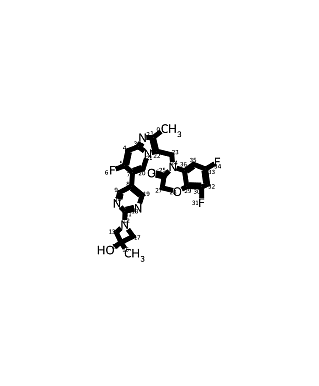 Cc1nc2cc(F)c(-c3cnc(N4CC(C)(O)C4)nc3)cn2c1CN1C(=O)COc2c(F)cc(F)cc21